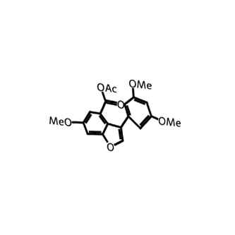 COc1cc(OC)cc(-c2coc3cc(OC)cc(C(=O)OC(C)=O)c23)c1